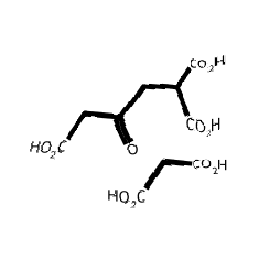 O=C(O)CC(=O)CC(C(=O)O)C(=O)O.O=C(O)CC(=O)O